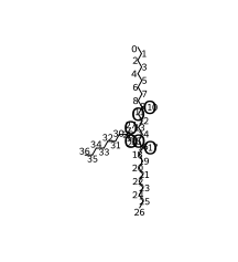 CCCCCCCCCC(=O)OCC(COC(=O)CCCCCCCCC)OC(=O)CCCCCCC